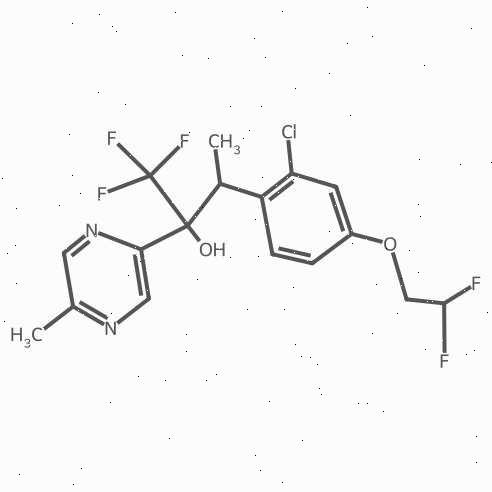 Cc1cnc(C(O)(C(C)c2ccc(OCC(F)F)cc2Cl)C(F)(F)F)cn1